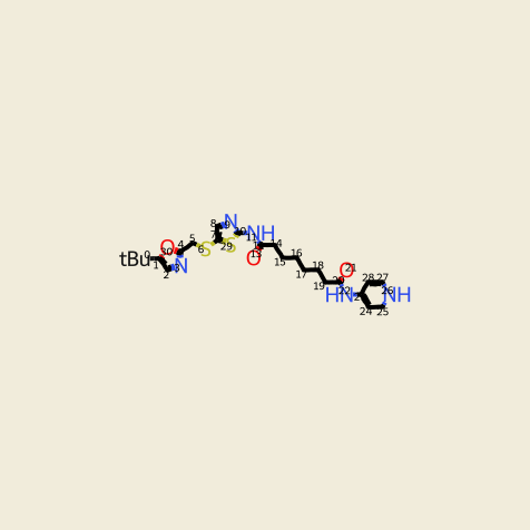 CC(C)(C)c1cnc(CSc2cnc(NC(=O)CCCCCCC(=O)NC3=CCNC=C3)s2)o1